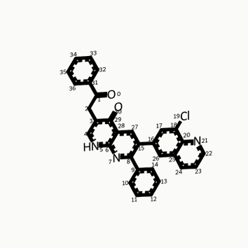 O=C(Cc1c[nH]c2nc(-c3ccccc3)c(-c3cc(Cl)c4ncccc4c3)cc2c1=O)c1ccccc1